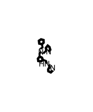 c1ccc(CCN(Cc2cccc(CNCc3ccccn3)c2)Cc2ccccn2)cc1